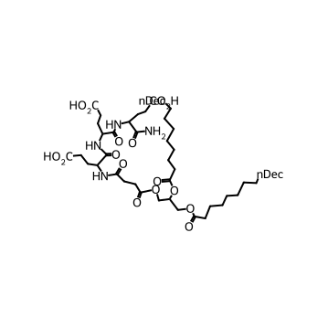 CCCCCCCCCCCCCCCCCC(=O)OCC(COC(=O)CCC(=O)NC(CCC(=O)O)C(=O)NC(CCC(=O)O)C(=O)NC(CCC(=O)O)C(N)=O)OC(=O)CCCCCCCCCCCCCCCCC